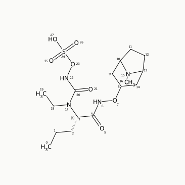 CCC[C@@H](C(=O)NOC1CC2CCC(C1)N2C)N(CC)C(=O)NOS(=O)(=O)O